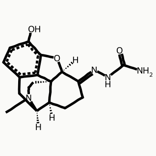 CN1CC[C@]23c4c5ccc(O)c4O[C@H]2C(=NNC(N)=O)CC[C@H]3[C@H]1C5